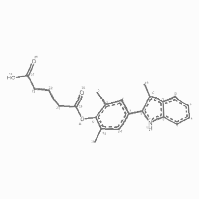 Cc1cc(-c2[nH]c3ccccc3c2C)cc(C)c1OC(=O)CCCC(=O)O